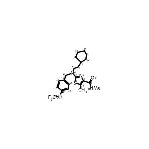 CNC(=O)c1nc(N(CCC2CCCCC2)Cc2ccc(OC(F)(F)F)cc2)sc1C